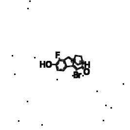 O=C1C(Br)=C2c3ccc(O)c(F)c3C[C@]23CC[C@H]1C3